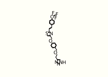 FC(F)(F)Oc1ccc(/C=C/c2nc(COc3ccc(COCCc4c[nH]nn4)cc3)cs2)cc1